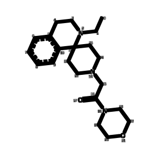 CCN1CCc2ccccc2C12CCN(CC(=O)N1CCOCC1)CC2